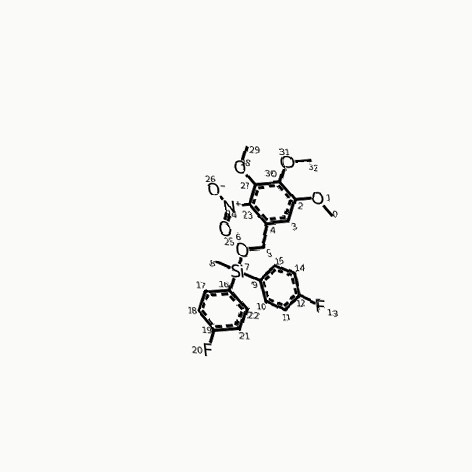 COc1cc(CO[Si](C)(c2ccc(F)cc2)c2ccc(F)cc2)c([N+](=O)[O-])c(OC)c1OC